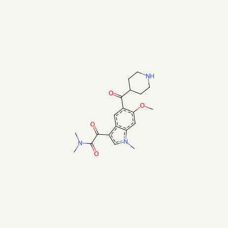 COc1cc2c(cc1C(=O)C1CCNCC1)c(C(=O)C(=O)N(C)C)cn2C